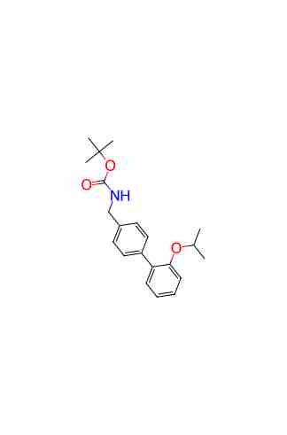 CC(C)Oc1ccccc1-c1ccc(CNC(=O)OC(C)(C)C)cc1